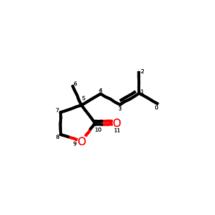 CC(C)=CCC1(C)CCOC1=O